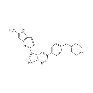 Cc1cc2cc(-c3c[nH]c4ncc(-c5ccc(CN6CCNCC6)cc5)cc34)ccc2[nH]1